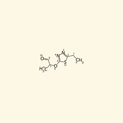 CCc1nnc(OC(C)[C]=O)s1